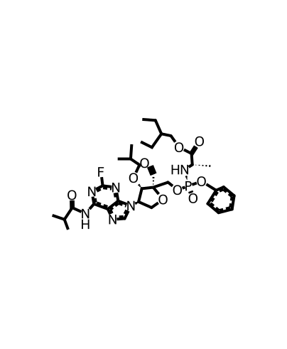 C#C[C@]1(CO[P@@](=O)(N[C@@H](C)C(=O)OCC(CC)CC)Oc2ccccc2)OC[C@@H](n2cnc3c(NC(=O)C(C)C)nc(F)nc32)[C@@H]1OC(=O)C(C)C